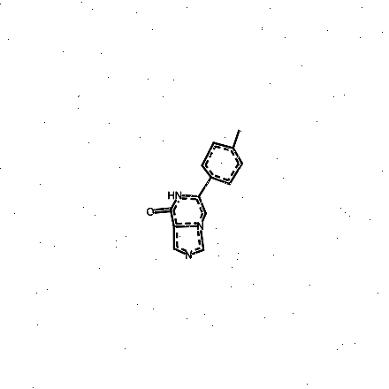 Cc1ccc(-c2cn3cncc3c(=O)[nH]2)cc1